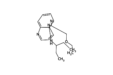 CCOCC1N=C2C=CC=C3N=CC=CC32N1NC(CC)CC